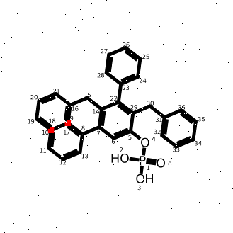 O=P(O)(O)Oc1cc(-c2ccccc2)c(Cc2ccccc2)c(-c2ccccc2)c1Cc1ccccc1